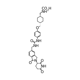 O=C(O)NC[C@H]1CC[C@H](COc2ccc(NC(=O)NCc3ccc4c(c3)CN(C3CCC(=O)NC3=O)C4=O)cc2)CC1